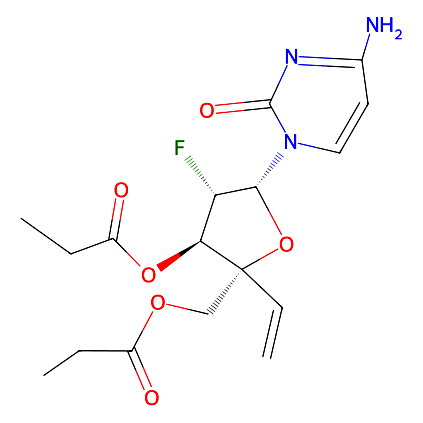 C=C[C@]1(COC(=O)CC)O[C@@H](n2ccc(N)nc2=O)[C@@H](F)[C@@H]1OC(=O)CC